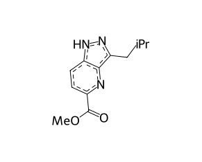 COC(=O)c1ccc2[nH]nc(CC(C)C)c2n1